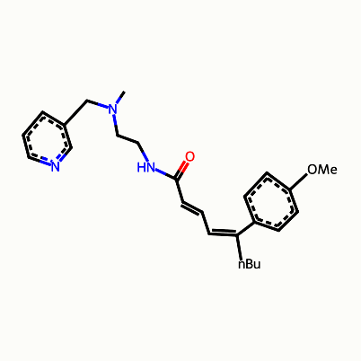 CCCCC(=CC=CC(=O)NCCN(C)Cc1cccnc1)c1ccc(OC)cc1